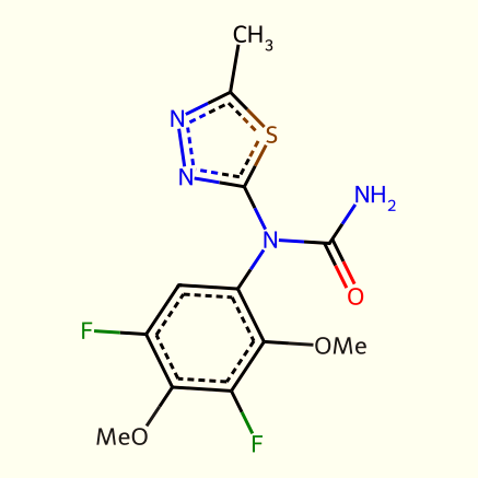 COc1c(F)cc(N(C(N)=O)c2nnc(C)s2)c(OC)c1F